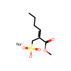 CCCC=C(CS(=O)(=O)[O-])C(=O)OC.[Na+]